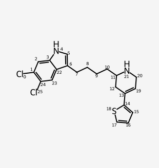 Clc1cc2[nH]cc(CCCCC3CC(c4cccs4)=CCN3)c2cc1Cl